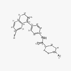 CC(=O)N1CCC(C(=O)Nc2ccc(C3=NCCc4ccc(F)cc43)cc2)CC1